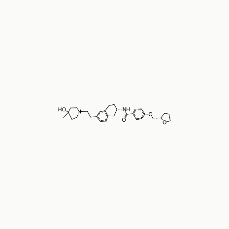 CC1(O)CCN(CCc2ccc3c(c2)CC[C@H](NC(=O)c2ccc(OC[C@@H]4CCCO4)cc2)C3)CC1